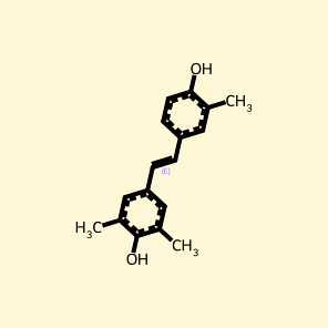 Cc1cc(/C=C/c2cc(C)c(O)c(C)c2)ccc1O